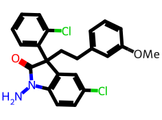 COc1cccc(CCC2(c3ccccc3Cl)C(=O)N(N)c3ccc(Cl)cc32)c1